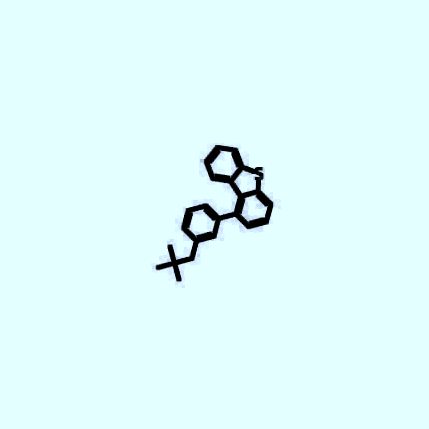 CC(C)(C)Cc1cccc(-c2cccc3sc4ccccc4c23)c1